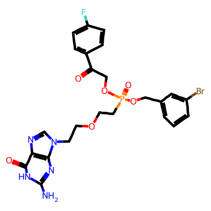 Nc1nc2c(ncn2CCOCCP(=O)(OCC(=O)c2ccc(F)cc2)OCc2cccc(Br)c2)c(=O)[nH]1